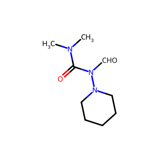 CN(C)C(=O)N(C=O)N1CCCCC1